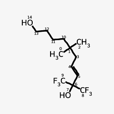 CC(C)(CC=CC(O)(C(F)(F)F)C(F)(F)F)CCCCO